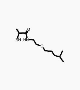 CC(C)CCCOCCNC(=O)C(C)S